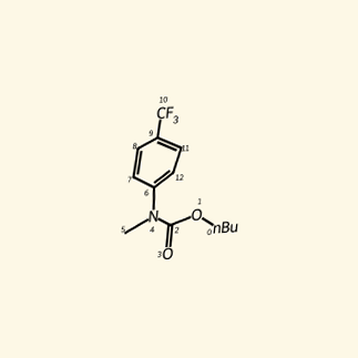 [CH2]CCCOC(=O)N(C)c1ccc(C(F)(F)F)cc1